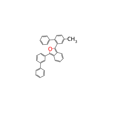 Cc1ccc(-c2ccccc2)c(-c2oc(-c3cccc(-c4ccccc4)c3)c3ccccc23)c1